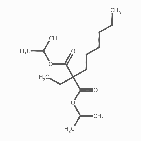 CCCCCCC(CC)(C(=O)OC(C)C)C(=O)OC(C)C